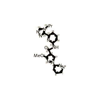 COc1nn(-c2cccnn2)cc1C(=O)Nc1cccc(-c2nncn2C(C)C)n1